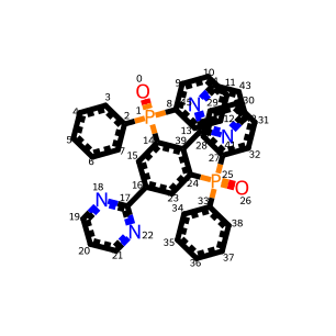 O=P(c1ccccc1)(c1ccccc1)c1cc(-c2ncccn2)cc(P(=O)(c2ccccc2)c2ccccc2)c1-c1ncccn1